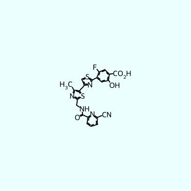 Cc1nc(CNC(=O)c2cccc(C#N)n2)sc1-c1csc(-c2cc(O)c(C(=O)O)cc2F)n1